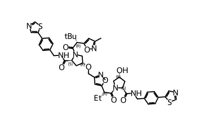 CC[C@@H](C(=O)N1C[C@H](O)C[C@H]1C(=O)NCc1ccc(-c2cncs2)cc1)c1cc(CO[C@@H]2C[C@@H](C(=O)NCc3ccc(-c4cncs4)cc3)N(C(=O)[C@@H](c3cc(C)no3)C(C)(C)C)C2)no1